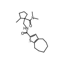 CC1CCCC1(CNC(=O)c1cc2c(s1)CCCCCC2)C(=O)N(C)C